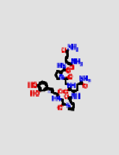 NC(=O)CCC(NC(=O)C1CCCN1C(=O)CNC(=O)C(CCC(N)=O)NC(=O)C1CCCN1C(=O)CNC(=O)/C=C/c1ccc(O)c(O)c1)C(N)=O